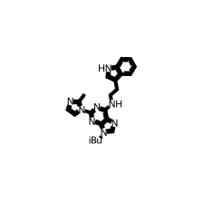 CCC(C)n1cnc2c(NCCc3c[nH]c4ccccc34)nc(-n3ccnc3C)nc21